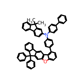 CC1(C)c2ccccc2-c2ccc(N(c3ccc(-c4ccccc4)cc3)c3ccc(-c4cccc5oc6cc7c(cc6c45)-c4ccccc4C7(c4ccccc4)c4ccccc4)cc3)cc21